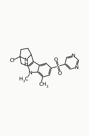 Cc1cc(S(=O)(=O)c2cncnc2)cc2c3c(n(C)c12)CC1(Cl)CCC3N1